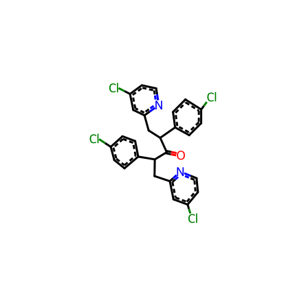 O=C(C(Cc1cc(Cl)ccn1)c1ccc(Cl)cc1)C(Cc1cc(Cl)ccn1)c1ccc(Cl)cc1